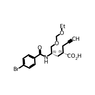 C#CC[C@@H](C[C@@H](COCOCC)NC(=O)c1ccc(Br)cc1)C(=O)O